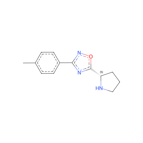 Cc1ccc(-c2noc([C@@H]3CCCN3)n2)cc1